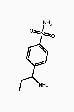 CCC(N)c1ccc(S(N)(=O)=O)cc1